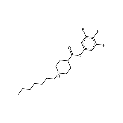 CCCCCCC[SiH]1CCC(C(=O)Oc2cc(F)c(F)c(F)c2)CC1